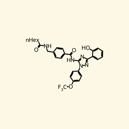 CCCCCCC(=O)NCc1ccc(C(=O)Nc2nc(-c3ccccc3O)nn2-c2ccc(OC(F)(F)F)cc2)cc1